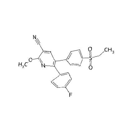 CCS(=O)(=O)c1ccc(-c2cc(C#N)c(OC)nc2-c2ccc(F)cc2)cc1